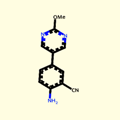 COc1ncc(-c2ccc(N)c(C#N)c2)cn1